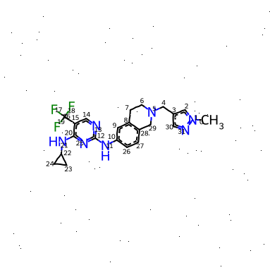 Cn1cc(CN2CCc3cc(Nc4ncc(C(F)(F)F)c(NC5CC5)n4)ccc3C2)cn1